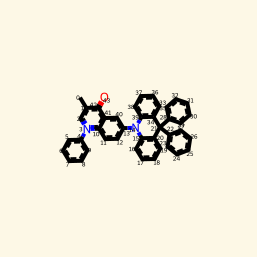 Cc1cn(-c2ccccc2)c2ccc(N3c4ccccc4C(c4ccccc4)(c4ccccc4)c4ccccc43)cc2c1=O